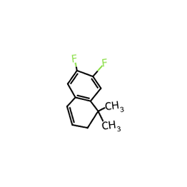 CC1(C)CC=Cc2cc(F)c(F)cc21